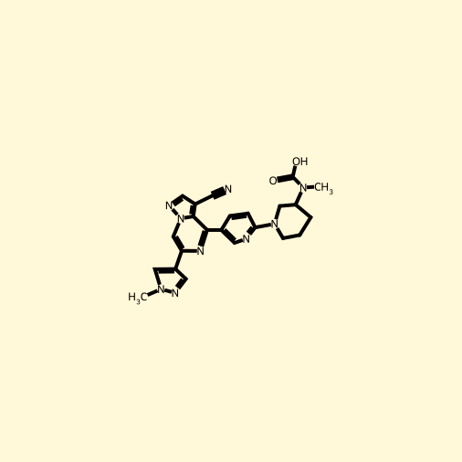 CN(C(=O)O)C1CCCN(c2ccc(-c3nc(-c4cnn(C)c4)cn4ncc(C#N)c34)cn2)C1